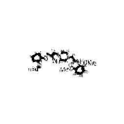 CCCCOc1ccccc1OCC(O)CN1CCN(CC(=O)Nc2c(OC)cccc2OC)CC1